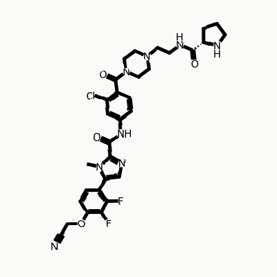 Cn1c(-c2ccc(OCC#N)c(F)c2F)cnc1C(=O)Nc1ccc(C(=O)N2CCN(CCNC(=O)[C@@H]3CCCN3)CC2)c(Cl)c1